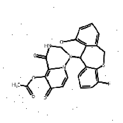 CC(=O)Oc1c2n(ccc1=O)N(C1c3cccc(F)c3SCc3cccc(Cl)c31)CNC2=O